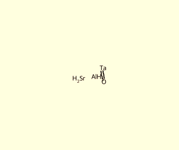 [AlH3].[O]=[Ta].[SrH2]